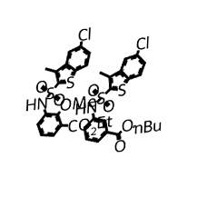 CCCCOC(=O)c1cccc(NS(=O)(=O)c2sc3ccc(Cl)cc3c2C)c1.CCOC(=O)c1cccc(NS(=O)(=O)c2sc3ccc(Cl)cc3c2C)c1OC